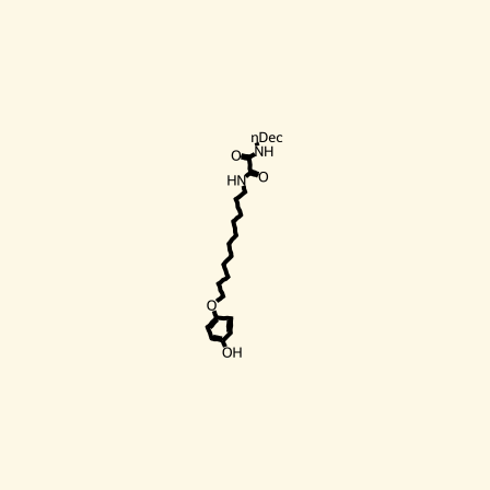 CCCCCCCCCCNC(=O)C(=O)NCCCCCCCCCCCOc1ccc(O)cc1